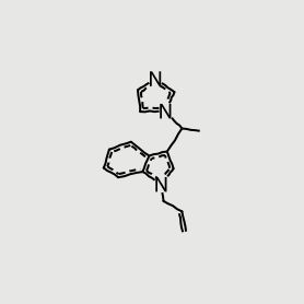 C=CCn1cc(C(C)n2ccnc2)c2ccccc21